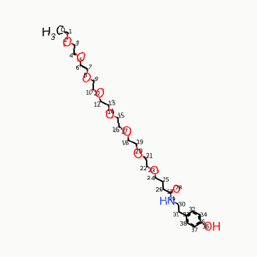 CCOCCOCCOCCOCCOCCOCCOCCOCCCC(=O)NCCc1ccc(O)cc1